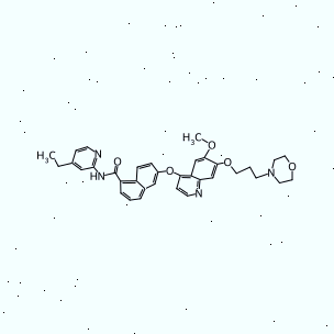 CCc1ccnc(NC(=O)c2cccc3cc(Oc4ccnc5cc(OCCCN6CCOCC6)c(OC)cc45)ccc23)c1